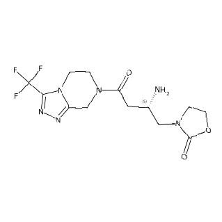 N[C@@H](CC(=O)N1CCn2c(nnc2C(F)(F)F)C1)CN1CCOC1=O